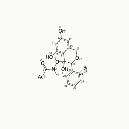 CC(=O)C(=O)N(C)OC1(O)c2c(O)cc(O)cc2COC1c1ccccc1Br